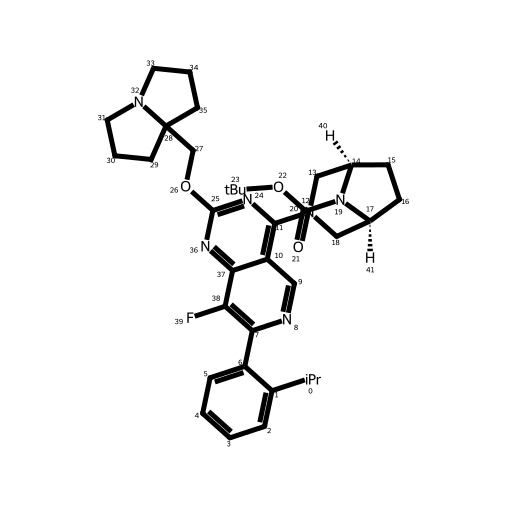 CC(C)c1ccccc1-c1ncc2c(N3C[C@H]4CC[C@@H](C3)N4C(=O)OC(C)(C)C)nc(OCC34CCCN3CCC4)nc2c1F